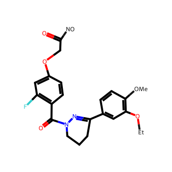 CCOc1cc(C2=NN(C(=O)c3ccc(OCC(=O)N=O)cc3F)CCC2)ccc1OC